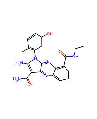 CCNC(=O)c1cccc2nc3c(C(N)=O)c(N)n(-c4cc(O)ccc4C)c3nc12